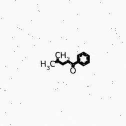 C[C](C)CCC(=O)c1ccccc1